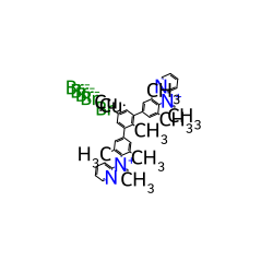 CC=[N+](c1ccccn1)c1c(C)cc(-c2cc(Br)cc(-c3cc(C)c([N+](=CC)c4ccccn4)c(C)c3)c2C)cc1C.[Br-].[Br-].[Br-].[Br-].[Cu].[Cu]